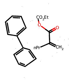 C=C(CCC)C(=O)OC(=O)OCC.c1ccc(-c2ccccc2)cc1